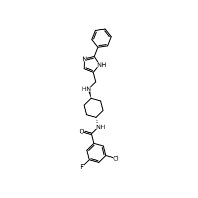 O=C(N[C@H]1CC[C@H](NCc2cnc(-c3ccccc3)[nH]2)CC1)c1cc(F)cc(Cl)c1